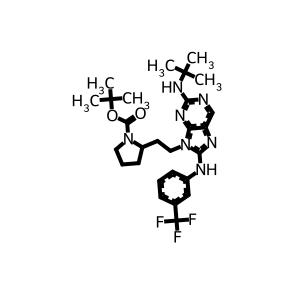 CC(C)(C)Nc1ncc2nc(Nc3cccc(C(F)(F)F)c3)n(CCC3CCCN3C(=O)OC(C)(C)C)c2n1